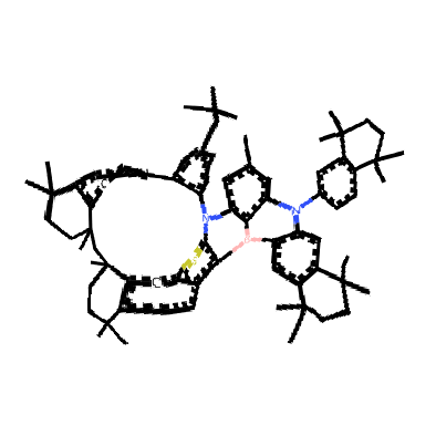 Cc1cc2c3c(c1)N1c4ccc(C(C)(C)C)cc4-c4ccc5c(c4)C(C)(C)CCC5(C)CC4(C)CCC(C)(C)c5cc6c(c1sc6cc54)B3c1cc3c(cc1N2c1ccc2c(c1)C(C)(C)CCC2(C)C)C(C)(C)CCC3(C)C